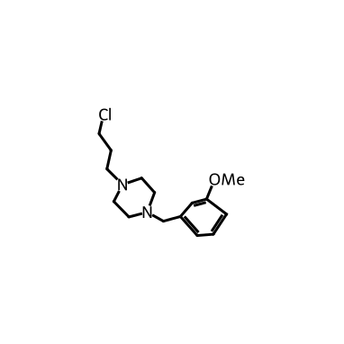 COc1cccc(CN2CCN(CCCCl)CC2)c1